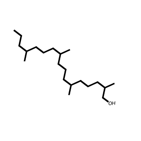 CCCC(C)CCCC(C)CCCC(C)CCCC(C)CO